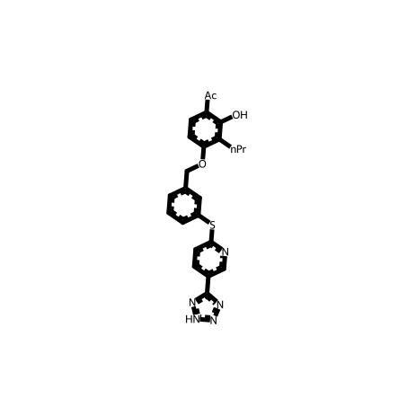 CCCc1c(OCc2cccc(Sc3ccc(-c4nn[nH]n4)cn3)c2)ccc(C(C)=O)c1O